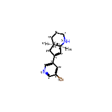 Brc1cncc(C2=C[C@@H]3NCCC[C@@H]3C2)c1